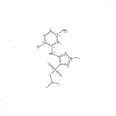 CC(C)CS(=O)(=O)c1nn(C)cc1Nc1nc(N)ncc1Cl